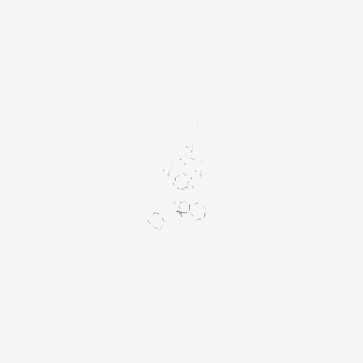 Nc1nc(-c2nn(Cc3ccccc3F)c3c(F)cccc23)nc(N)c1NC(=O)N1CC(O)C1